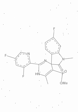 COC(=O)C1=C(C)NC(c2ncc(F)cc2F)=NC12C(=O)N(C)c1cc(F)ccc12